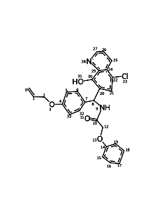 C=CCOc1ccc(C(NC(=O)COc2ccccc2)c2cc(Cl)c3cccnc3c2O)cc1